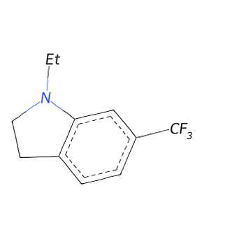 CCN1CCc2ccc(C(F)(F)F)cc21